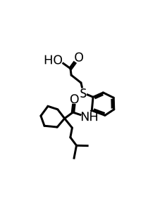 CC(C)CCC1(C(=O)Nc2ccccc2SCCC(=O)O)CCCCC1